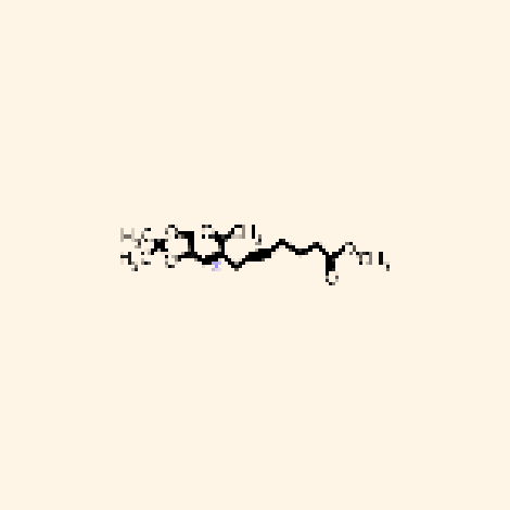 COC(=O)CCCC#CC/C(=C/C1COC(C)(C)O1)C(C)=O